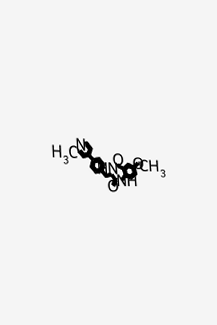 COc1ccc2c(c1)C(=O)NC(Cc1ccc(-c3ccnc(C)c3)cc1)C(=O)N2